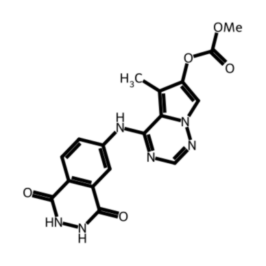 COC(=O)Oc1cn2ncnc(Nc3ccc4c(=O)[nH][nH]c(=O)c4c3)c2c1C